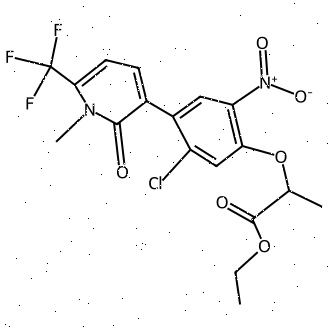 CCOC(=O)C(C)Oc1cc(Cl)c(-c2ccc(C(F)(F)F)n(C)c2=O)cc1[N+](=O)[O-]